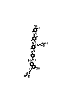 Cc1cc(N=Nc2cc(C)c(N=Nc3cc(C)c(N=Nc4ccc(C(=O)Nc5ccc6c(OCCCS(=O)(=O)O)cc(S)cc6c5)cc4)cc3OCCCS(=O)(=O)O)cc2C)c(C)cc1N